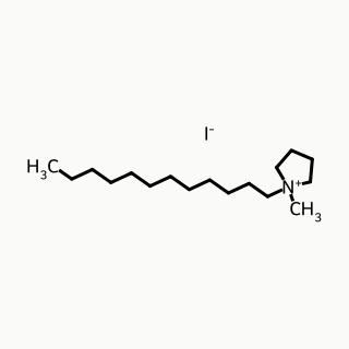 CCCCCCCCCCCC[N+]1(C)CCCC1.[I-]